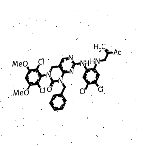 C=C(CNc1cc(Cl)c(Cl)cc1Nc1ncc2c(n1)N(Cc1ccccc1)C(=O)N(c1c(Cl)c(OC)cc(OC)c1Cl)C2)C(C)=O